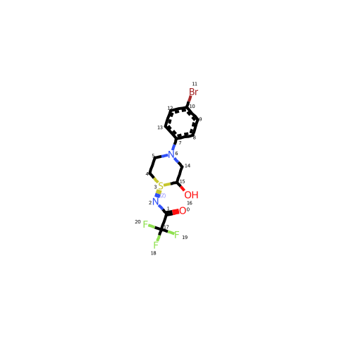 O=C(/N=S1/CCN(c2ccc(Br)cc2)CC1O)C(F)(F)F